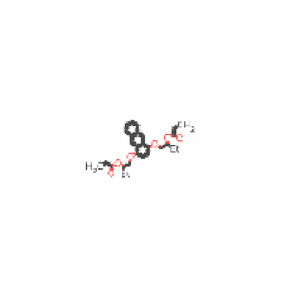 C=CC(=O)OC(CC)COc1ccc(OCC(CC)OC(=O)C=C)c2cc3ccccc3cc12